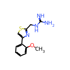 COc1ccccc1-c1csc(CNC(=N)N)n1